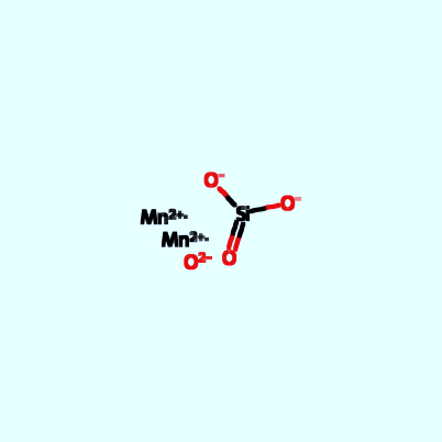 O=[Si]([O-])[O-].[Mn+2].[Mn+2].[O-2]